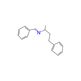 CC(CCc1ccccc1)N=Cc1ccccc1